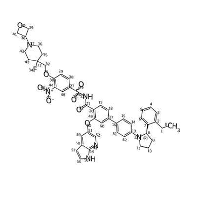 CCc1ccccc1[C@H]1CCCN1c1ccc(-c2ccc(C(=O)NS(=O)(=O)c3ccc(OCC4(F)CCN(C5COC5)CC4)c([N+](=O)[O-])c3)c(Oc3cnc4[nH]ccc4c3)c2)cc1